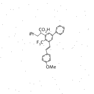 COc1ccc(C=Cc2cc(-c3ccccc3)cc(C(CC(C)C)C(=O)O)c2C(F)(F)F)cc1